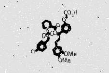 COc1ccc(CC[C@@H](OC(=O)C2CCCCN2S(=O)(=O)Cc2ccc(Cl)cc2)c2cccc(OCC(=O)O)c2)cc1OC